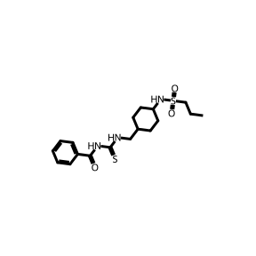 CCCS(=O)(=O)NC1CCC(CNC(=S)NC(=O)c2ccccc2)CC1